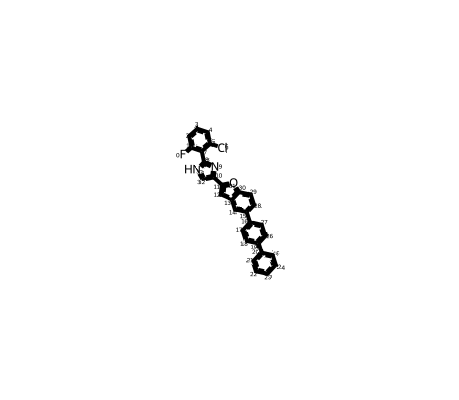 Fc1cccc(Cl)c1-c1nc(-c2cc3cc(-c4ccc(-c5ccccc5)cc4)ccc3o2)c[nH]1